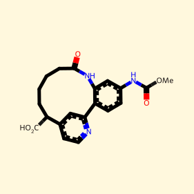 COC(=O)Nc1ccc2c(c1)NC(=O)CCCCC(C(=O)O)c1ccnc-2c1